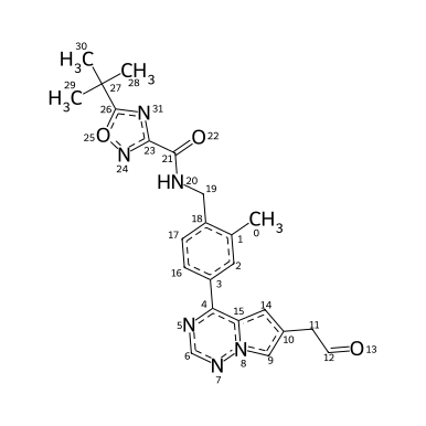 Cc1cc(-c2ncnn3cc(CC=O)cc23)ccc1CNC(=O)c1noc(C(C)(C)C)n1